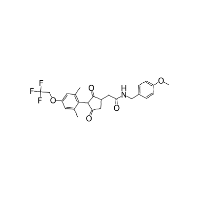 COc1ccc(CNC(=O)CC2CC(=O)C(c3c(C)cc(OCC(F)(F)F)cc3C)C2=O)cc1